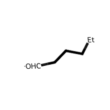 CCCCC[C]=O